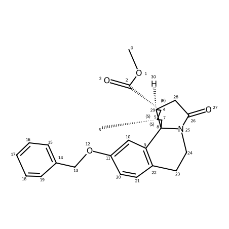 COC(=O)[C@@H]1[C@@H](C)CC23c4cc(OCc5ccccc5)ccc4CCN2C(=O)C[C@@H]13